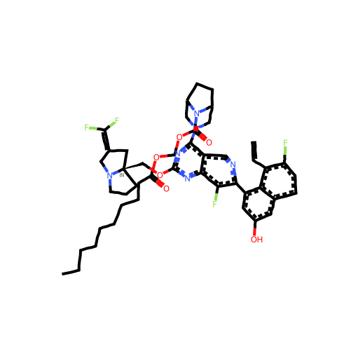 C=Cc1c(F)ccc2cc(O)cc(-c3ncc4c(N5CC6CCC(C5)N6C(=O)OCOC(=O)CCCCCCCCC)nc(OC[C@@]56CCCN5CC(=C(F)F)C6)nc4c3F)c12